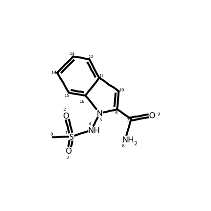 CS(=O)(=O)Nn1c(C(N)=O)cc2ccccc21